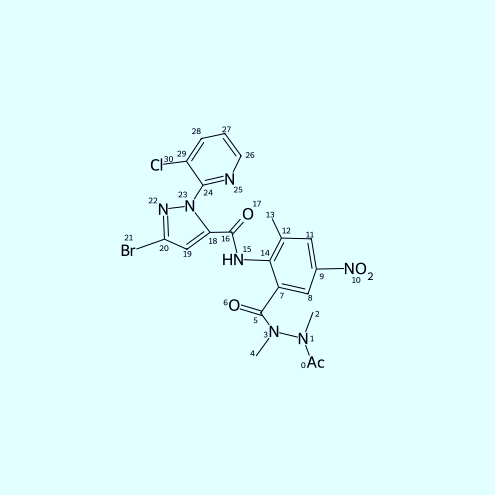 CC(=O)N(C)N(C)C(=O)c1cc([N+](=O)[O-])cc(C)c1NC(=O)c1cc(Br)nn1-c1ncccc1Cl